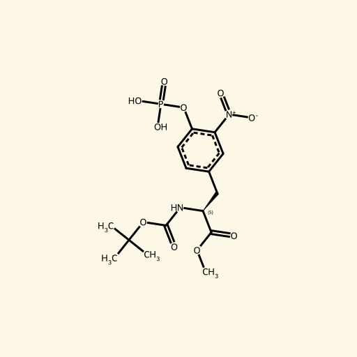 COC(=O)[C@H](Cc1ccc(OP(=O)(O)O)c([N+](=O)[O-])c1)NC(=O)OC(C)(C)C